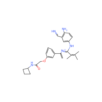 C=C(/N=C(/Nc1ccc(N)c(C=N)c1)C(C)=C(C)C)c1cccc(OCC(=O)NC2CCC2)c1